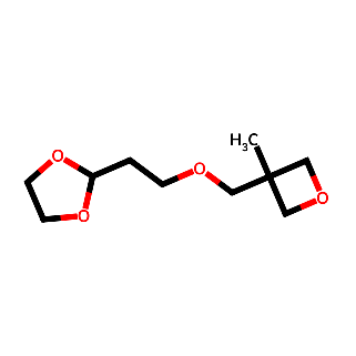 CC1(COCCC2OCCO2)COC1